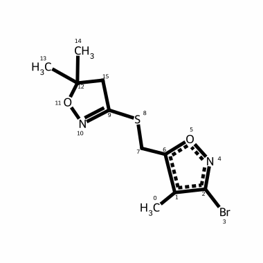 Cc1c(Br)noc1CSC1=NOC(C)(C)C1